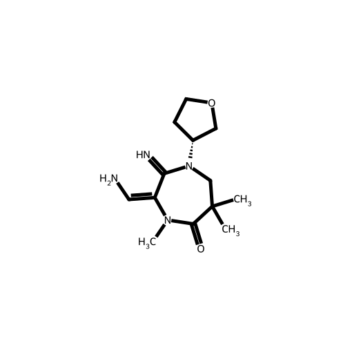 CN1C(=O)C(C)(C)CN([C@@H]2CCOC2)C(=N)/C1=C\N